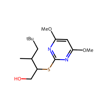 COc1cc(OC)nc(SC(CO)C(C)CC(C)(C)C)n1